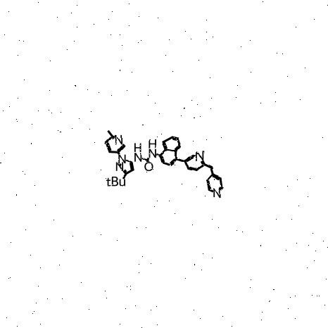 Cc1ccc(-n2nc(C(C)(C)C)cc2NC(=O)Nc2ccc(-c3ccc(Cc4ccncc4)nc3)c3ccccc23)cn1